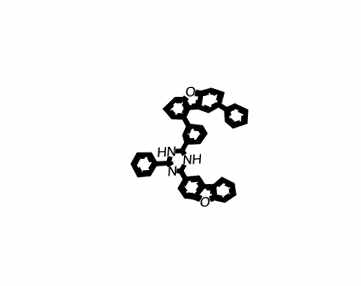 c1ccc(C2=NC(c3ccc4oc5ccccc5c4c3)NC(c3cccc(-c4cccc5oc6ccc(-c7ccccc7)cc6c45)c3)N2)cc1